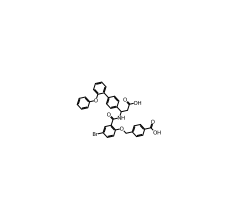 O=C(O)CC(NC(=O)c1cc(Br)ccc1OCc1ccc(C(=O)O)cc1)c1ccc(-c2ccccc2Oc2ccccc2)cc1